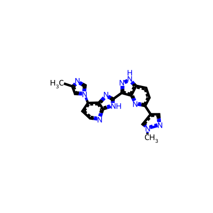 Cc1cn(-c2ccnc3[nH]c(-c4n[nH]c5ccc(-c6cnn(C)c6)nc45)nc23)cn1